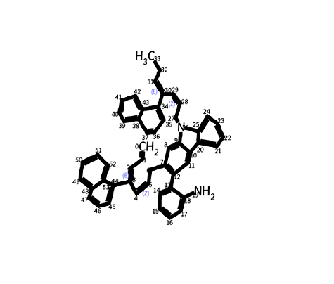 C=C/C=C(\C=C/Cc1cc2c(cc1-c1ccccc1N)c1ccccc1n2C/C=C\C(=C/CC)c1cccc2ccccc12)c1cccc2ccccc12